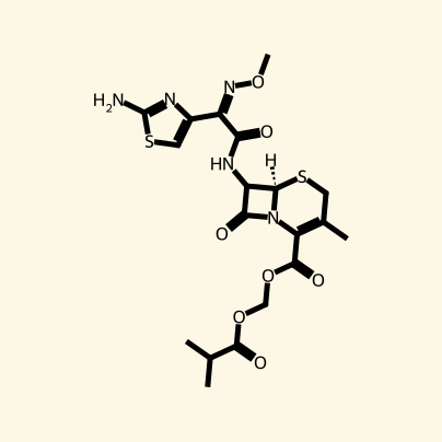 CO/N=C(\C(=O)NC1C(=O)N2C(C(=O)OCOC(=O)C(C)C)=C(C)CS[C@H]12)c1csc(N)n1